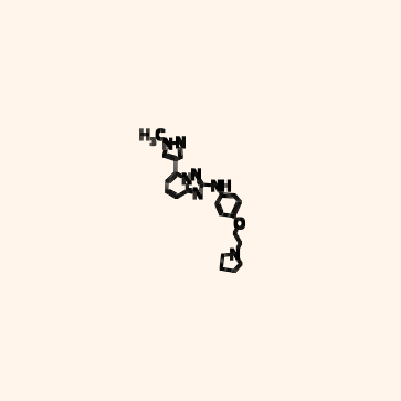 Cn1cc(-c2cccc3nc(Nc4ccc(OCCN5CCCC5)cc4)nn23)cn1